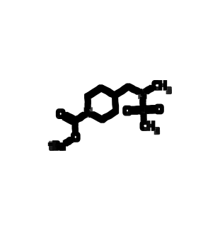 CN(CC1CCN(C(=O)OC(C)(C)C)CC1)S(C)(=O)=O